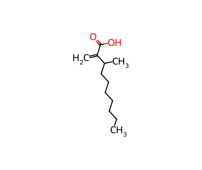 C=C(C(=O)O)C(C)CCCCCCC